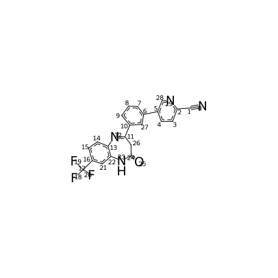 N#Cc1ccc(-c2cccc(C3=Nc4ccc(C(F)(F)F)cc4NC(=O)C3)c2)cn1